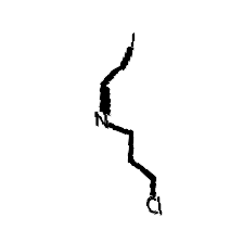 ClCCC/N=C\CI